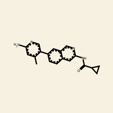 Cc1cc(N)ncc1-c1ccc2cc(NC(=O)C3CC3)ncc2c1